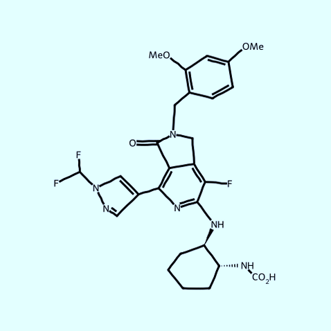 COc1ccc(CN2Cc3c(F)c(N[C@@H]4CCCC[C@H]4NC(=O)O)nc(-c4cnn(C(F)F)c4)c3C2=O)c(OC)c1